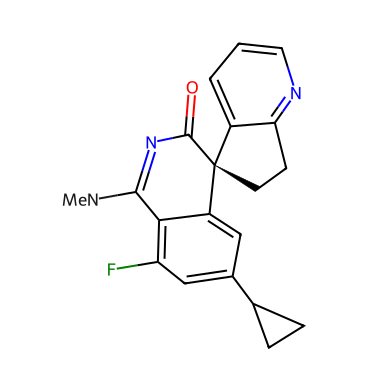 CNC1=NC(=O)[C@@]2(CCc3ncccc32)c2cc(C3CC3)cc(F)c21